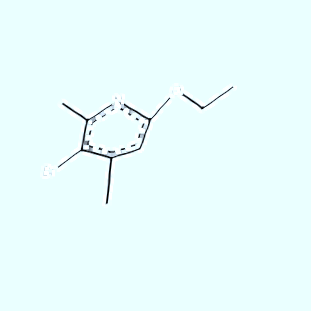 CCOc1cc(C)c(Br)c(C)n1